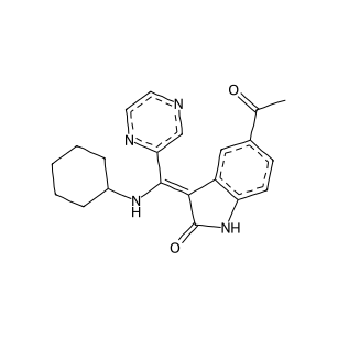 CC(=O)c1ccc2c(c1)/C(=C(/NC1CCCCC1)c1cnccn1)C(=O)N2